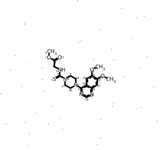 COC(=O)CNC(=S)N1CCN(c2ncnc3cc(OC)c(OC)cc23)CC1